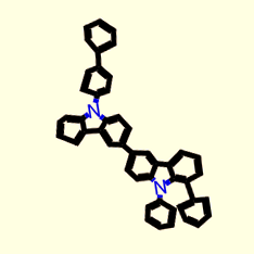 c1ccc(-c2ccc(-n3c4ccccc4c4cc(-c5ccc6c(c5)c5cccc(-c7ccccc7)c5n6-c5ccccc5)ccc43)cc2)cc1